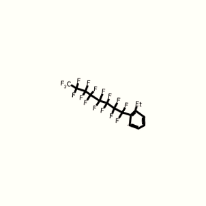 CCc1ccc[c]c1C(F)(F)C(F)(F)C(F)(F)C(F)(F)C(F)(F)C(F)(F)C(F)(F)C(F)(F)F